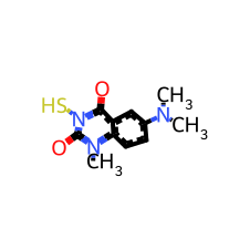 CN(C)c1ccc2c(c1)c(=O)n(S)c(=O)n2C